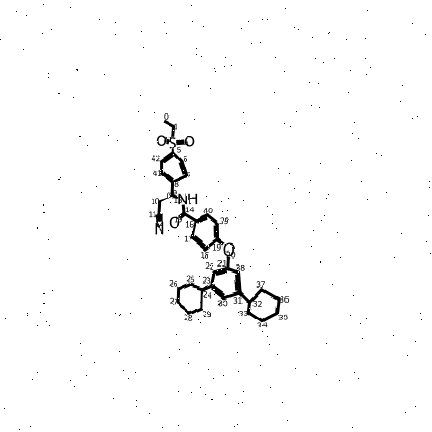 CCS(=O)(=O)c1ccc([C@H](CC#N)NC(=O)c2ccc(Oc3cc(C4CCCCC4)cc(C4CCCCC4)c3)cc2)cc1